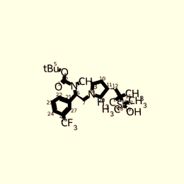 CN(C(=O)OC(C)(C)C)[C@@H](CN1CC[C@H](CC(C)(C)[Si](C)(C)O)C1)c1cccc(C(F)(F)F)c1